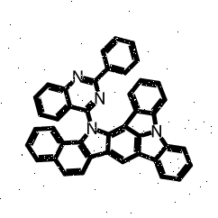 c1ccc(-c2nc(-n3c4c5ccccc5ccc4c4cc5c6ccccc6n6c7ccccc7c(c43)c56)c3ccccc3n2)cc1